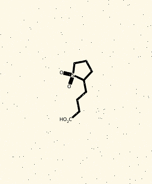 O=C(O)CCCC1CCCS1(=O)=O